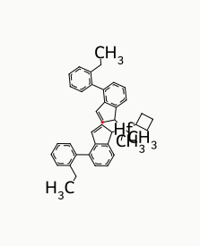 CCc1ccccc1-c1cccc2c1C=C[CH]2[Hf]([CH3])([CH3])(=[C]1CCC1)[CH]1C=Cc2c(-c3ccccc3CC)cccc21